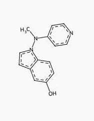 CN(c1ccncc1)n1ccc2cc(O)ccc21